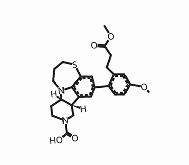 COC(=O)CCc1cc(OC)ccc1-c1cc2c3c(c1)[C@@H]1CN(C(=O)O)CC[C@@H]1N3CCCS2